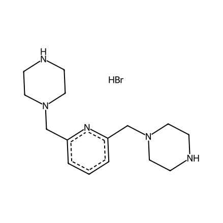 Br.c1cc(CN2CCNCC2)nc(CN2CCNCC2)c1